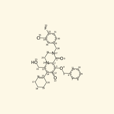 O=C1c2c(OCc3ccccc3)c(=O)c(C3=CCCCC3)c(CO)n2CCN1Cc1ccc(F)c(Cl)c1